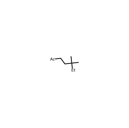 CCC(C)(C)CCC(C)=O